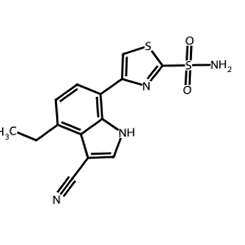 CCc1ccc(-c2csc(S(N)(=O)=O)n2)c2[nH]cc(C#N)c12